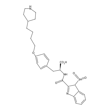 O=C(N[C@@H](Cc1ccc(OCCCCC2CCNCC2)cc1)C(=O)O)C1=Nc2ccccc2C1[SH](=O)=O